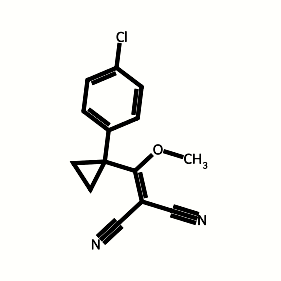 COC(=C(C#N)C#N)C1(c2ccc(Cl)cc2)CC1